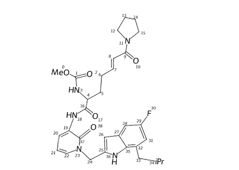 COC(=O)NC(CCC=CC(=O)N1CCCC1)C(=O)Nc1cccn(Cc2cc3cc(F)cc(CC(C)C)c3[nH]2)c1=O